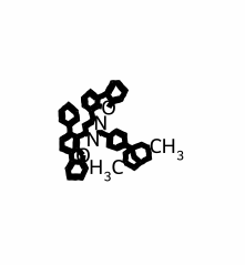 CC1CC2CC(C)CC(c3ccc(-c4nc(-c5cccc6c5oc5ccccc56)cc(-c5c(-c6ccccc6)ccc6c5oc5ccccc56)n4)cc3)(C1)C2